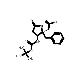 CC(C)(C)OC(=O)N[C@H]1CC(=O)N[C@@]1(CC(=O)O)Cc1ccccc1